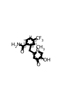 Cn1cc(O)c(=O)cc1Cc1cc(C(F)(F)F)ccc1C(N)=O